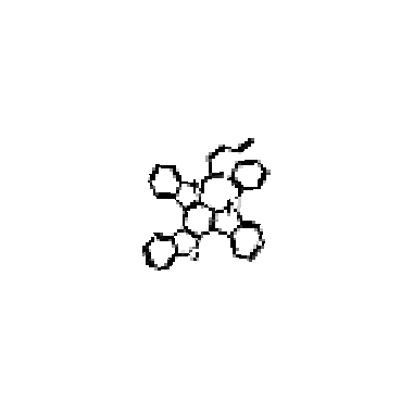 C=C/C=C\C(=C)n1c2ccccc2c2c3c4ccccc4sc3c3c4ccccc4n(-c4ccccc4)c3c21